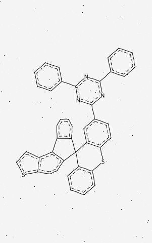 c1ccc(-c2nc(-c3ccccc3)nc(-c3ccc4c(c3)C3(c5ccccc5S4)c4ccccc4-c4c3ccc3sccc43)n2)cc1